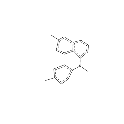 Cc1ccc(N(C)c2cccc3cc(C)ccc23)cc1